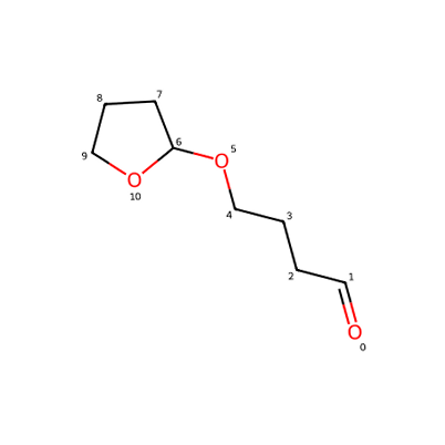 O=CCCCOC1CCCO1